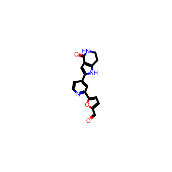 O=Cc1ccc(-c2cc(-c3cc4c([nH]3)CCNC4=O)ccn2)o1